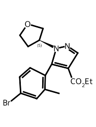 CCOC(=O)c1cnn([C@H]2CCOC2)c1-c1ccc(Br)cc1C